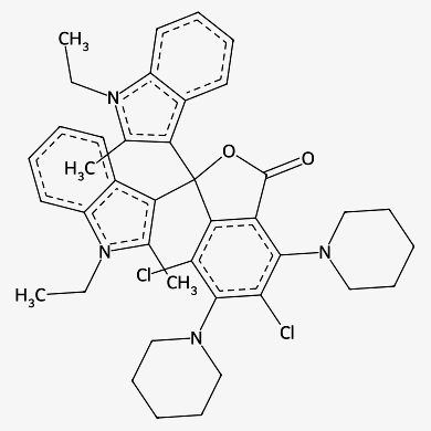 CCn1c(C)c(C2(c3c(C)n(CC)c4ccccc34)OC(=O)c3c(N4CCCCC4)c(Cl)c(N4CCCCC4)c(Cl)c32)c2ccccc21